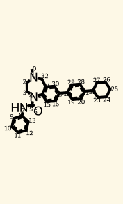 CN1CCN(C(=O)Nc2ccccc2)c2ccc(-c3ccc(C4CCCCC4)cc3)cc2C1